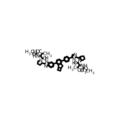 COC(=O)NC(C(=O)N1CCCC1c1nc2ccc(-c3ccc(-c4ccc(-c5cnc(C6C7CCC(C7)N6C(=O)C(NC(=O)OC)C(C)C)[nH]5)cc4)c4c3C3CCC3C4)cc2[nH]1)C(C)C